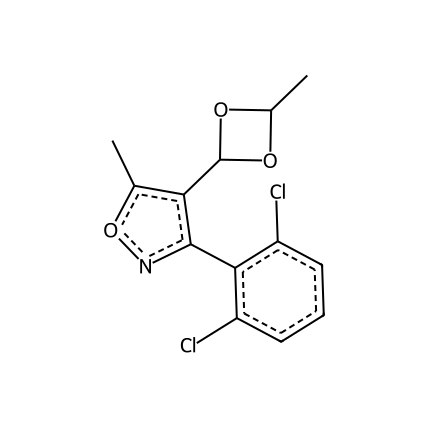 Cc1onc(-c2c(Cl)cccc2Cl)c1C1OC(C)O1